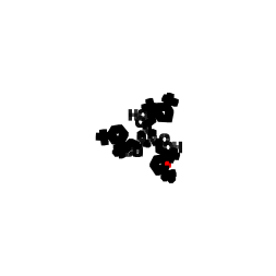 CC(C)(C)c1cccc(C(O)(CC(=O)N2CN(C(=O)CC(O)(c3cccc(C(C)(C)C)c3)C(C)(C)C)CN(C(=O)CC(O)(c3cccc(C(C)(C)C)c3)C(C)(C)C)C2)C(C)(C)C)c1